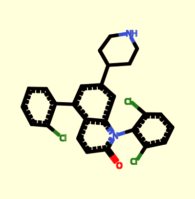 O=c1ccc2c(-c3ccccc3Cl)cc(C3CCNCC3)cc2n1-c1c(Cl)cccc1Cl